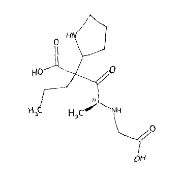 CCCC(C(=O)O)(C(=O)[C@H](C)NCC(=O)O)C1CCCN1